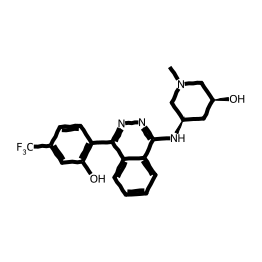 CN1C[C@@H](O)C[C@@H](Nc2nnc(-c3ccc(C(F)(F)F)cc3O)c3ccccc23)C1